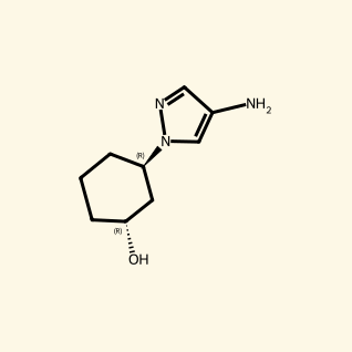 Nc1cnn([C@@H]2CCC[C@@H](O)C2)c1